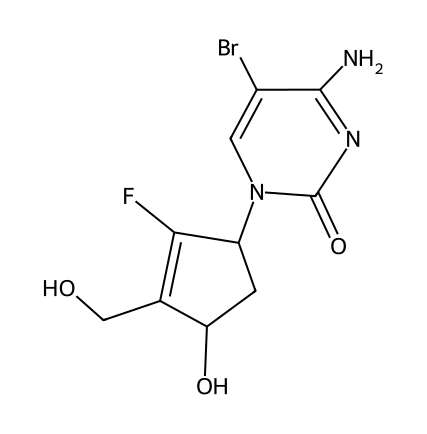 Nc1nc(=O)n(C2CC(O)C(CO)=C2F)cc1Br